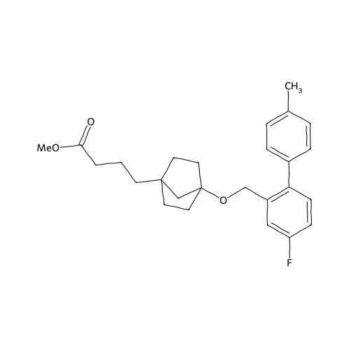 COC(=O)CCCC12CCC(OCc3cc(F)ccc3-c3ccc(C)cc3)(CC1)C2